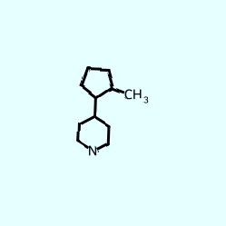 CC1CCCC1C1CC[N]CC1